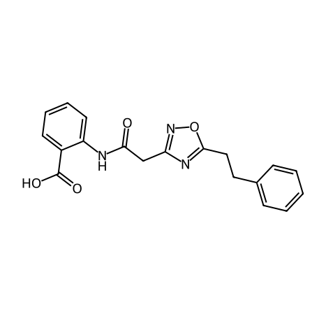 O=C(Cc1noc(CCc2ccccc2)n1)Nc1ccccc1C(=O)O